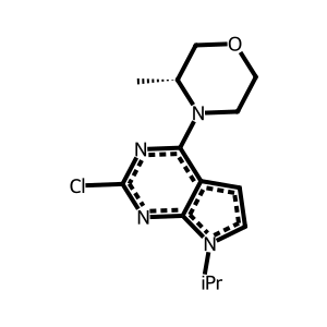 CC(C)n1ccc2c(N3CCOC[C@H]3C)nc(Cl)nc21